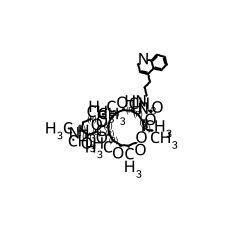 CC[C@H]1OC(=O)C(C)C(=O)[C@H](C)[C@@H](O[C@@H]2O[C@H](C)C[C@H](N(C)C)[C@H]2O)[C@@](C)(OC)C[C@@H](C)C(=O)[C@H](C)[C@H]2N(NCCCc3ccnc4ccccc34)C(=O)O[C@]12C